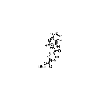 CC(C)(C)OC(=O)N1CCC(C(=O)N2C[C@@H]3C[C@H]2c2ccccc2O3)CC1